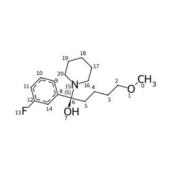 COCCCC[C@](O)(c1cccc(F)c1)N1CCCCC1